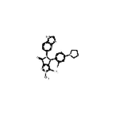 Cc1c2c(nn1C)C(=O)N(c1ccc3[nH]cnc3c1)C2c1ccc(N2CCCC2)cc1F